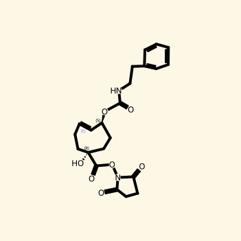 O=C(NCCc1ccccc1)O[C@@H]1/C=C/CC[C@](O)(C(=O)ON2C(=O)CCC2=O)CC1